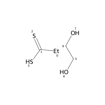 CCC(=S)S.OCCO